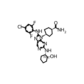 NC(=O)[C@H]1CC[C@@H](n2c(Nc3c(F)cc(Cl)cc3F)nc3cnc(N[C@H]4CCCC[C@H]4O)nc32)CC1